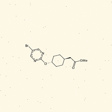 COC(=O)C[C@H]1CC[C@H](Oc2ncc(Br)cn2)CC1